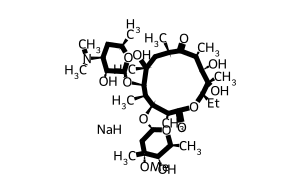 CC[C@H]1OC(=O)[C@H](C)[C@@H](O[C@H]2C[C@@](C)(OC)[C@@H](O)[C@H](C)O2)[C@@H](C)[C@@H](O[C@@H]2O[C@H](C)C[C@H](N(C)C)[C@H]2O)[C@](C)(O)C[C@@H](C)C(=O)[C@H](C)[C@H](O)[C@]1(C)O.[NaH]